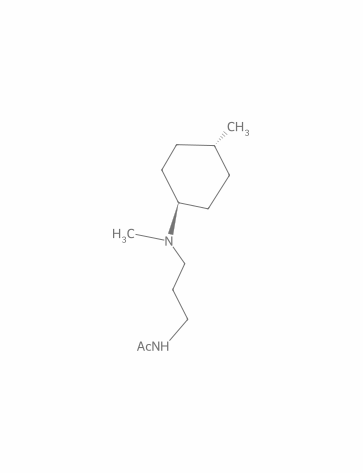 CC(=O)NCCCN(C)[C@H]1CC[C@H](C)CC1